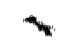 CC1(C)C(=O)N(c2ccc(C#N)c(C(F)(F)F)c2F)C(=O)N1c1cnc(-c2ccc(OCCNC(=O)COc3cccc4c3C(=O)N(C3CCC(=O)NC3=O)C4=O)cc2C(F)(F)F)c(F)c1